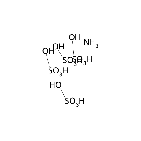 N.O=S(=O)(O)O.O=S(=O)(O)O.O=S(=O)(O)O.O=S(=O)(O)O